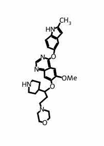 COc1cc2c(Oc3ccc4[nH]c(C)cc4c3)ncnc2cc1OC(CCN1CCOCC1)C1CCNCC1